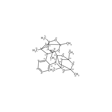 CC12CC3(C)OC(C)(CC(C)(O1)P3c1ccccc1P1C3(C)CC4(C)OC(C)(CC1(C)O4)O3)O2